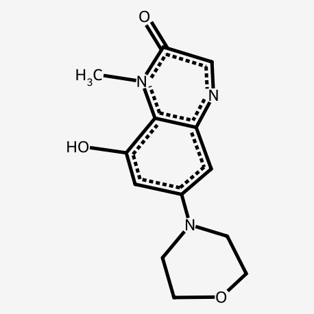 Cn1c(=O)cnc2cc(N3CCOCC3)cc(O)c21